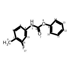 Cc1ccc(NC(=O)Oc2ccccc2)cc1F